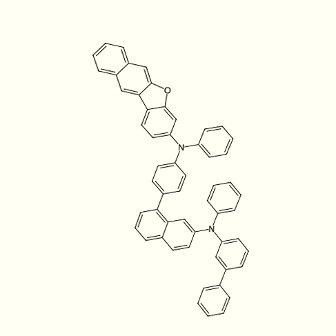 c1ccc(-c2cccc(N(c3ccccc3)c3ccc4cccc(-c5ccc(N(c6ccccc6)c6ccc7c(c6)oc6cc8ccccc8cc67)cc5)c4c3)c2)cc1